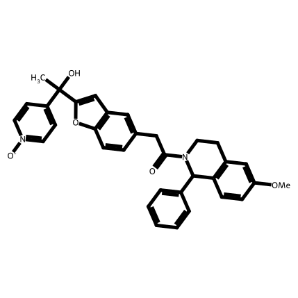 COc1ccc2c(c1)CCN(C(=O)Cc1ccc3oc(C(C)(O)c4cc[n+]([O-])cc4)cc3c1)C2c1ccccc1